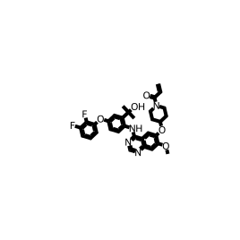 C=CC(=O)N1CCC(Oc2cc3c(Nc4ccc(Oc5cccc(F)c5F)cc4C(C)(C)O)ncnc3cc2OC)CC1